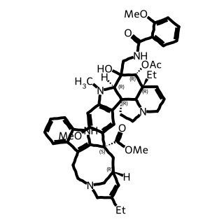 CCC1=C[C@@H]2CN(CCc3c([nH]c4ccccc34)[C@@](C(=O)OC)(c3cc4c(cc3OC)N(C)[C@H]3C(O)(CNC(=O)c5ccccc5OC)[C@H](OC(C)=O)[C@]5(CC)C=CCN6CC[C@]43C65)C2)C1